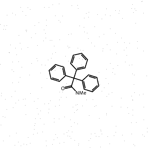 CNC(=O)C(c1ccccc1)(c1ccccc1)c1ccccc1